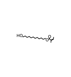 CC=C(C)C(=O)OCCCCCCCCCCCCO